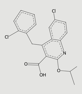 CC(C)Oc1nc2ccc(Cl)cc2c(Cc2ccccc2Cl)c1C(=O)O